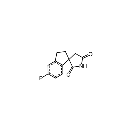 O=C1CC2(CCc3cc(F)ccc32)C(=O)N1